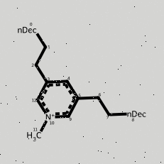 CCCCCCCCCCCCc1cc(CCCCCCCCCCCC)c[n+](C)c1